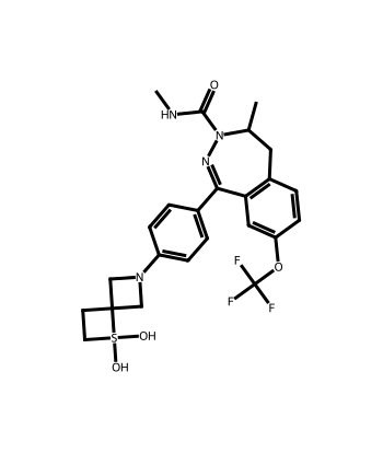 CNC(=O)N1N=C(c2ccc(N3CC4(CCS4(O)O)C3)cc2)c2cc(OC(F)(F)F)ccc2CC1C